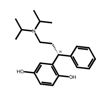 CC(C)N(CC[C@H](c1ccccc1)c1cc(O)ccc1O)C(C)C